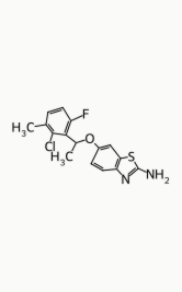 Cc1ccc(F)c(C(C)Oc2ccc3nc(N)sc3c2)c1Cl